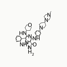 CN1CCN(C2CCN(c3ccc(Nc4nc(NC5CCOCC5)c(-c5ccccc5N)nc4C(N)=O)cc3)CC2)CC1